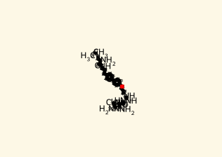 CN(C)CC[C@H](N)C(=O)NCCCc1ccc(-c2ccc(CCCCNC(=N)NC(=O)c3nc(Cl)c(N)nc3N)cc2)cc1